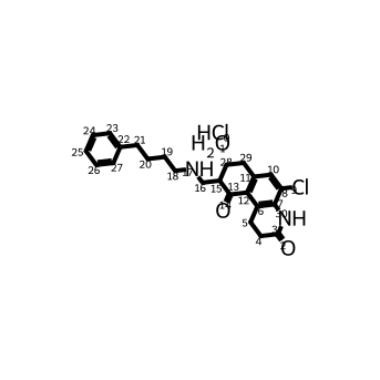 Cl.O.O=C1CCc2c(c(Cl)cc3c2C(=O)C(CNCCCCc2ccccc2)CC3)N1